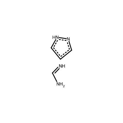 N=CN.c1cn[nH]c1